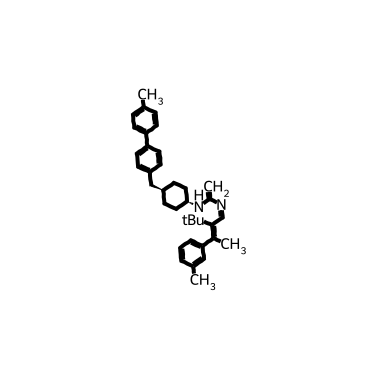 C=C(/N=C\C(=C(/C)c1cccc(C)c1)C(C)(C)C)N[C@H]1CC[C@H](Cc2ccc(-c3ccc(C)cc3)cc2)CC1